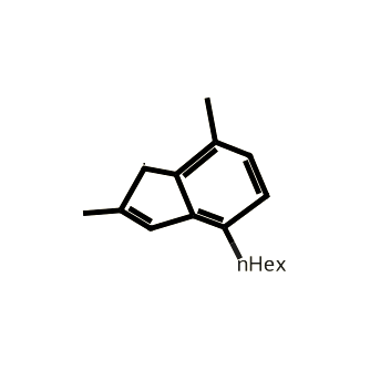 CCCCCCc1ccc(C)c2c1C=C(C)[CH]2